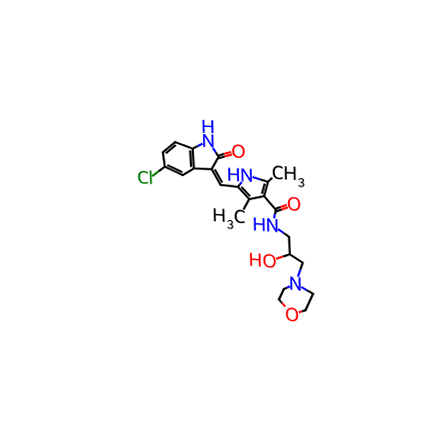 Cc1[nH]c(C=C2C(=O)Nc3ccc(Cl)cc32)c(C)c1C(=O)NCC(O)CN1CCOCC1